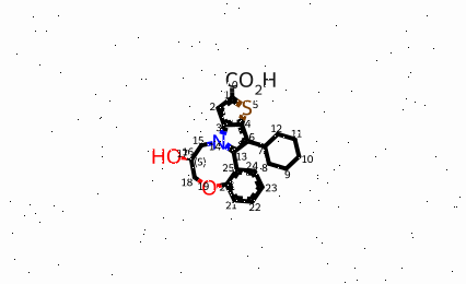 O=C(O)c1cc2c(s1)c(C1CCCCC1)c1n2C[C@H](O)COc2ccccc2-1